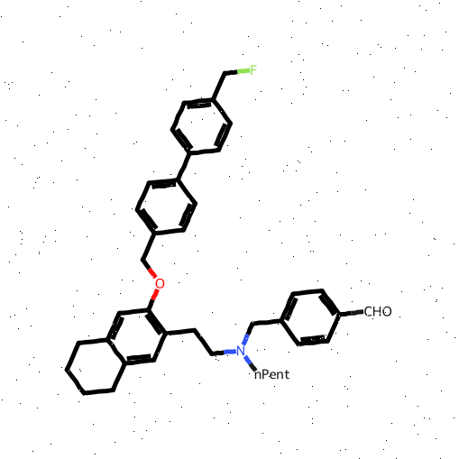 CCCCCN(CCc1cc2c(cc1OCc1ccc(-c3ccc(CF)cc3)cc1)CCCC2)Cc1ccc(C=O)cc1